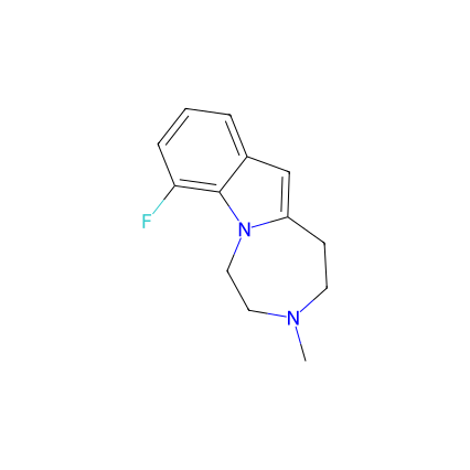 CN1CCc2cc3cccc(F)c3n2CC1